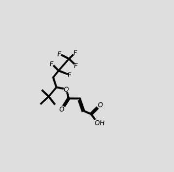 CC(C)(C)C(CC(F)(F)C(F)(F)F)OC(=O)/C=C/C(=O)O